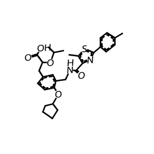 Cc1ccc(-c2nc(C(=O)NCc3cc(CC(OC(C)C)C(=O)O)ccc3OC3CCCC3)c(C)s2)cc1